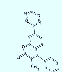 Cc1c(-c2ccccc2)c2ccc(-c3nncnn3)cc2oc1=O